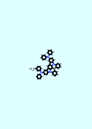 Cc1cccc(N(c2ccccc2)c2ccc3c(c2)c2cc4c5cc(N(c6ccccc6)c6ccccc6)ccc5n5c4c4c2n3-c2ccccc2B4c2ccccc2-5)c1